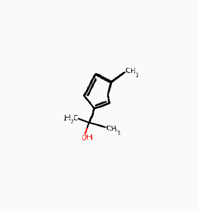 CC1C=CC(C(C)(C)O)=C1